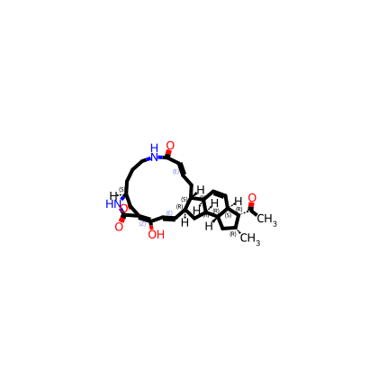 CC(=O)[C@H]1[C@@H]2C=C[C@@H]3[C@H]4C/C=C/C(=O)NCCC[C@@H]5NC(=O)/C(=C(O)/C=C/[C@@H]4C[C@@H]3[C@H]2C[C@H]1C)C5=O